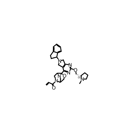 C=CC(=O)N1CC2COCC1CN2c1nc(OC[C@@H]2CCCN2C)nc2c1CN(C1CCc3ccccc31)C2